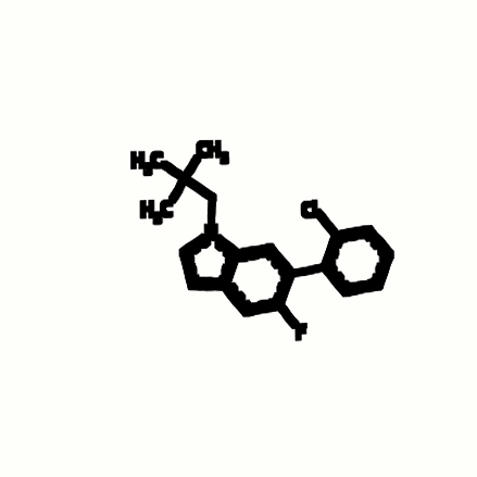 CC(C)(C)Cn1ccc2cc(F)c(-c3ccccc3Cl)cc21